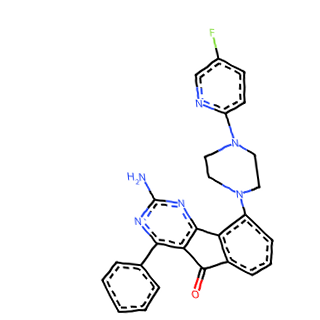 Nc1nc(-c2ccccc2)c2c(n1)-c1c(cccc1N1CCN(c3ccc(F)cn3)CC1)C2=O